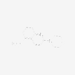 O=C(O)c1cccc2nc(N3CCOCC3)ccc12